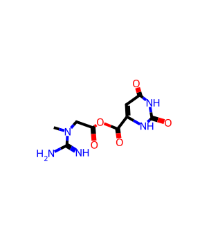 CN(CC(=O)OC(=O)c1cc(=O)[nH]c(=O)[nH]1)C(=N)N